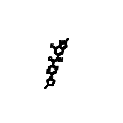 C[C@@H]1CCN(c2cnc(C(=O)Nc3cc(F)c4nn(C)cc4c3)cn2)C1